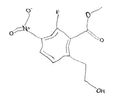 COC(=O)c1c(CCO)ccc([N+](=O)[O-])c1F